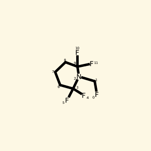 FCN1C(F)(F)CCCC1(F)F